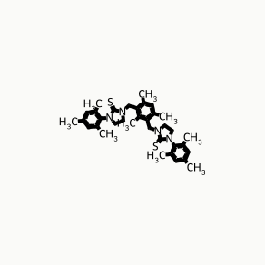 Cc1cc(C)c(N2CCN(Cc3c(C)cc(C)c(CN4CCN(c5c(C)cc(C)cc5C)C4=S)c3C)C2=S)c(C)c1